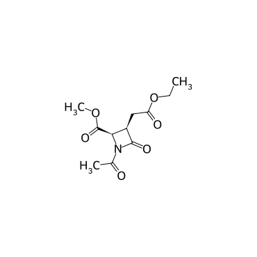 CCOC(=O)C[C@H]1C(=O)N(C(C)=O)[C@H]1C(=O)OC